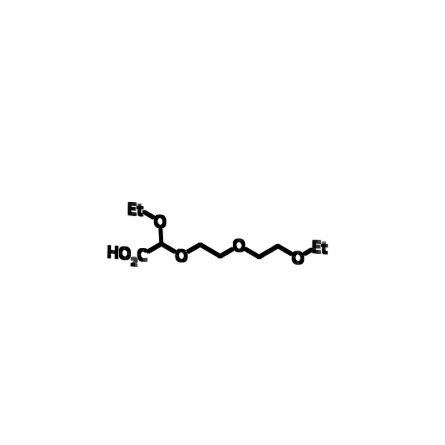 CCOCCOCCOC(OCC)C(=O)O